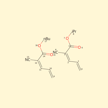 C=CC=C(C#N)C(=O)OC(C)C.C=CC=C(C#N)C(=O)OCCCC